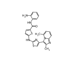 Cc1nc2cccc(C)n2c1-c1csc(Nc2ccc(C(=O)Nc3ccccc3N)s2)n1